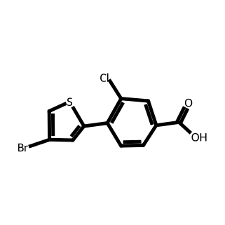 O=C(O)c1ccc(-c2cc(Br)cs2)c(Cl)c1